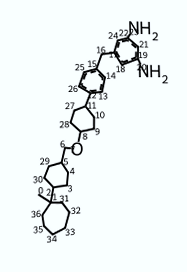 CC1(C2CCC(COC3CCC(c4ccc(Cc5cc(N)cc(N)c5)cc4)CC3)CC2)CCCCCC1